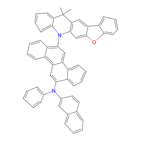 CC1(C)c2ccccc2N(c2cc3c4ccccc4c(N(c4ccccc4)c4ccc5ccccc5c4)cc3c3ccccc23)c2cc3oc4ccccc4c3cc21